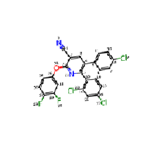 N#Cc1cc(-c2ccc(Cl)cc2)c(-c2ccc(Cl)cc2Cl)nc1Oc1ccc(F)c(F)c1